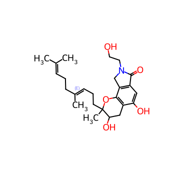 CC(C)=CCC/C(C)=C/CCC1(C)Oc2c(c(O)cc3c2CN(CCO)C3=O)CC1O